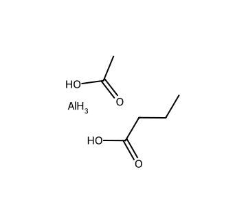 CC(=O)O.CCCC(=O)O.[AlH3]